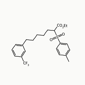 CCOC(=O)C(CCCCCc1cccc(C(F)(F)F)c1)S(=O)(=O)c1ccc(C)cc1